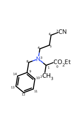 CCOC(=O)C(C)N(CCCC#N)Cc1ccccc1